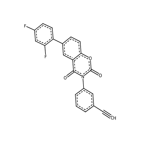 C#Cc1cccc(-n2c(=O)oc3ccc(-c4ccc(F)cc4F)cc3c2=O)c1